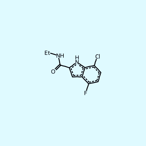 CCNC(=O)c1cc2c(F)ccc(Cl)c2[nH]1